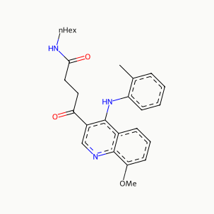 CCCCCCNC(=O)CCC(=O)c1cnc2c(OC)cccc2c1Nc1ccccc1C